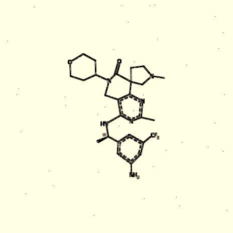 Cc1nc(N[C@H](C)c2cc(N)cc(C(F)(F)F)c2)c2c(n1)C1(CCN(C)C1)C(=O)N(C1CCOCC1)C2